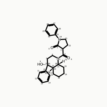 O=C1C(C(=O)N2CC[C@](O)(c3ccccc3)[C@H]3CCCC[C@H]32)CCN1c1ccccc1